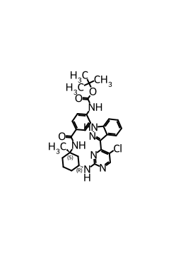 CC(C)(C)OC(=O)Nc1ccc(C(=O)N[C@@]2(C)CCC[C@@H](Nc3ncc(Cl)c(-c4n[nH]c5ccccc45)n3)C2)cc1